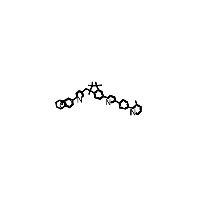 Cc1cccnc1-c1ccc(-c2ccc(-c3ccc4c(c3)C(C)(C)C(C)(C)C4(C)Cc3ccc(-c4ccc5c(c4)C4CCC5CC4)nc3)nc2)cc1